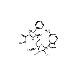 C#C[C@]1(CO[P@@](=O)(N[C@@H](C)C(=O)OC(C)C)Oc2ccccc2)O[C@@H](n2cnc3cnc(N)nc32)C(O)C1O